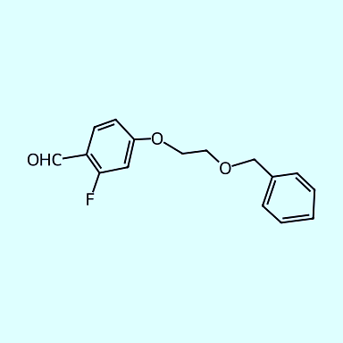 O=Cc1ccc(OCCOCc2ccccc2)cc1F